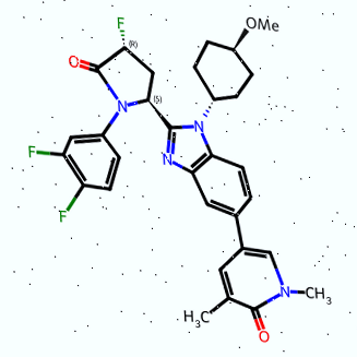 CO[C@H]1CC[C@H](n2c([C@@H]3C[C@@H](F)C(=O)N3c3ccc(F)c(F)c3)nc3cc(-c4cc(C)c(=O)n(C)c4)ccc32)CC1